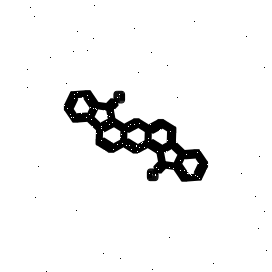 O=c1c2ccccc2c2ccc3cc4c(ccc5c6ccccc6c(=O)c45)cc3c12